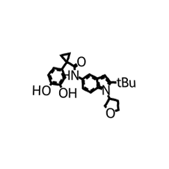 CC(C)(C)c1cc2cc(NC(=O)C3(c4ccc(O)c(O)c4)CC3)ccc2n1C1CCOC1